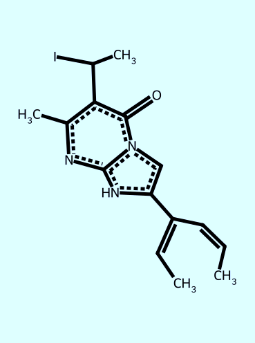 C/C=C\C(=C/C)c1cn2c(=O)c(C(C)I)c(C)nc2[nH]1